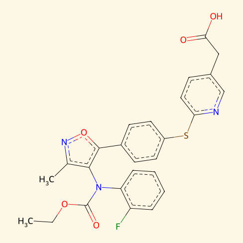 CCOC(=O)N(c1ccccc1F)c1c(C)noc1-c1ccc(Sc2ccc(CC(=O)O)cn2)cc1